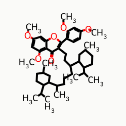 COc1ccc(-c2oc3cc(OC)cc(OC)c3c(=O)c2CCC(CCCC(C)C2CC(C)CCC2C(C)C)C2CC(C)CCC2C(C)C)c(OC)c1